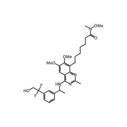 COc1cc2c(NC(C)c3cccc(C(F)(F)CO)c3)nc(C)nc2c(CCCCCCC(=O)N(C)OC)c1OC